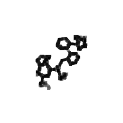 CCCN(Cc1ccccc1-c1ccccc1-c1nnn[nH]1)c1cc(C)nc2ccnn12